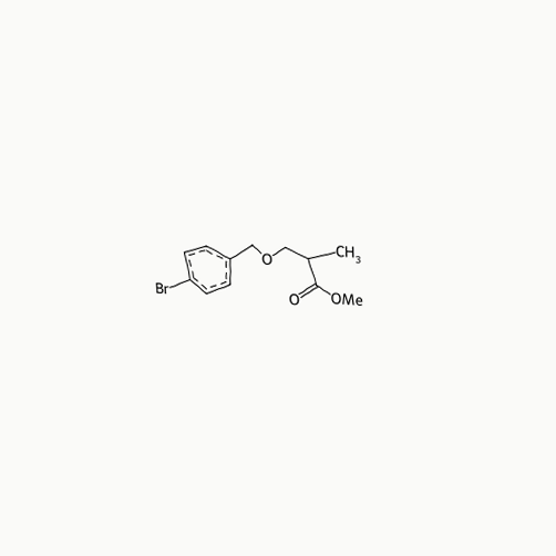 COC(=O)C(C)COCc1ccc(Br)cc1